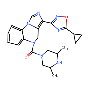 CC1CN(C(=O)N2Cc3c(-c4noc(C5CC5)n4)ncn3-c3ccccc32)CC(C)N1